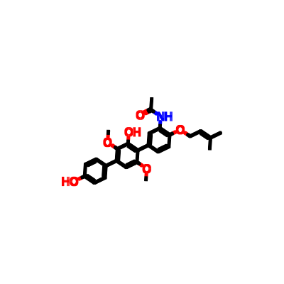 COc1cc(-c2ccc(O)cc2)c(OC)c(O)c1-c1ccc(OCC=C(C)C)c(NC(C)=O)c1